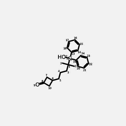 CC(C)(CCCC1CC(=O)C1)[Si](O)(c1ccccc1)c1ccccc1